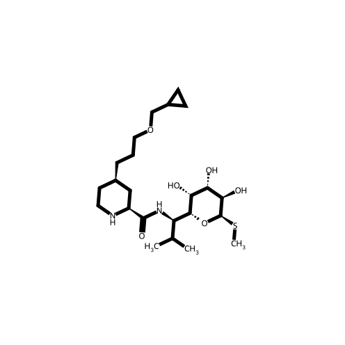 CS[C@H]1O[C@H]([C@H](NC(=O)[C@@H]2C[C@H](CCCOCC3CC3)CCN2)C(C)C)[C@H](O)[C@H](O)[C@H]1O